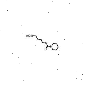 CCCCCCCCCCCC[N]C(=O)N1CCCCC1